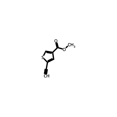 C#Cc1cc(C(=O)OC)cs1